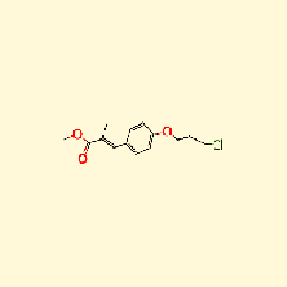 COC(=O)/C(C)=C/c1ccc(OCCCCl)cc1